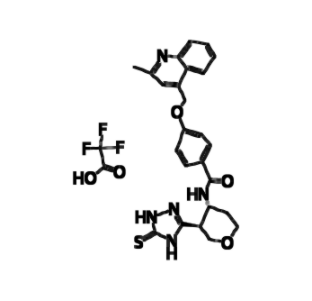 Cc1cc(COc2ccc(C(=O)N[C@@H]3CCOC[C@H]3c3n[nH]c(=S)[nH]3)cc2)c2ccccc2n1.O=C(O)C(F)(F)F